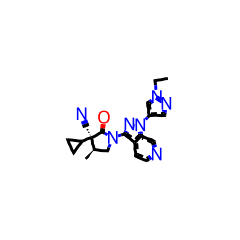 CCn1cc(-n2nc(N3C[C@@H](C)[C@@](C#N)(C4CC4)C3=O)c3ccncc32)cn1